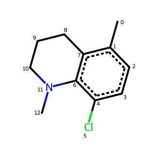 Cc1ccc(Cl)c2c1CCCN2C